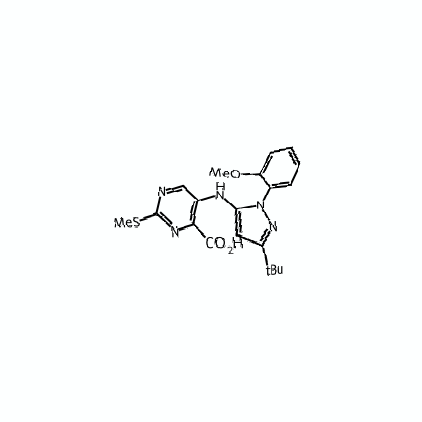 COc1ccccc1-n1nc(C(C)(C)C)cc1Nc1cnc(SC)nc1C(=O)O